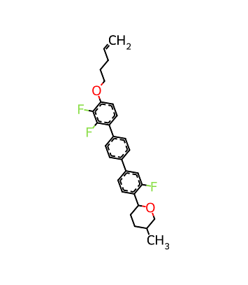 C=CCCCOc1ccc(-c2ccc(-c3ccc(C4CCC(C)CO4)c(F)c3)cc2)c(F)c1F